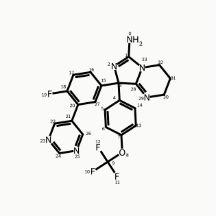 NC1=NC(c2ccc(OC(F)(F)F)cc2)(c2ccc(F)c(-c3cncnc3)c2)C2=NCCCN12